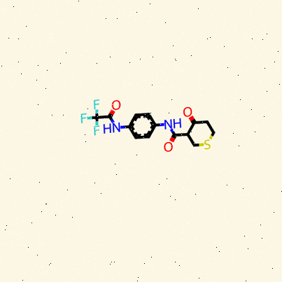 O=C1CCSCC1C(=O)Nc1ccc(NC(=O)C(F)(F)F)cc1